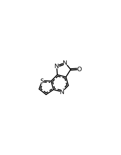 O=C1N=Nc2c1cnc1ccsc21